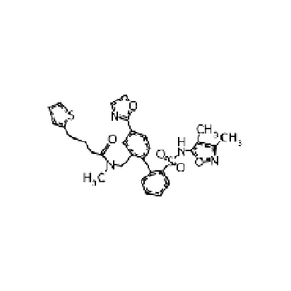 Cc1noc(NS(=O)(=O)c2ccccc2-c2ccc(-c3ncco3)cc2CN(C)C(=O)CCCc2cccs2)c1C